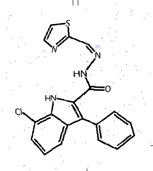 O=C(N/N=C\c1nccs1)c1[nH]c2c(Cl)cccc2c1-c1ccccc1